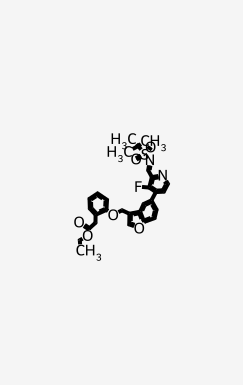 CCOC(=O)Cc1ccccc1OCc1coc2ccc(-c3ccnc(C=NS(=O)(=O)C(C)(C)C)c3F)cc12